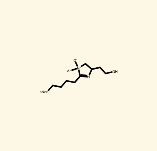 CCCCCCCCCCCCCC1=NC(CCO)C[N+]1([O-])C(C)=O